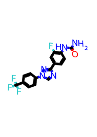 NC(=O)Nc1ccc(-c2ncn(-c3ccc(C(F)(F)F)cc3)n2)cc1F